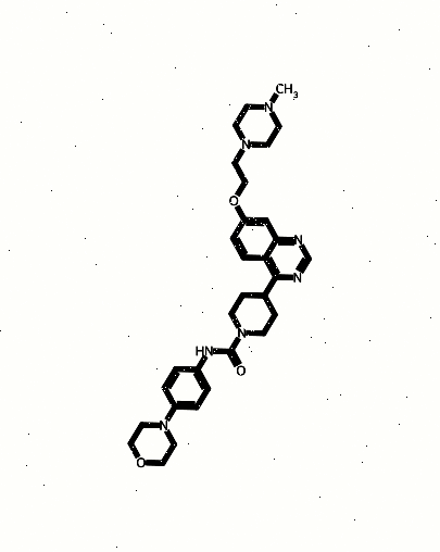 CN1CCN(CCOc2ccc3c(C4CCN(C(=O)Nc5ccc(N6CCOCC6)cc5)CC4)ncnc3c2)CC1